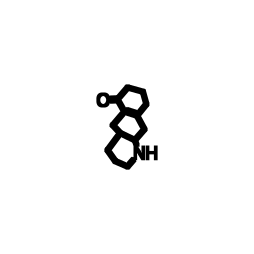 O=C1CCCC2=C1CC1CCCNC1C2